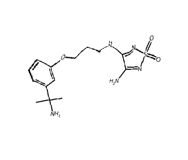 CC(C)(N)c1cccc(OCCCNC2=NS(=O)(=O)N=C2N)c1